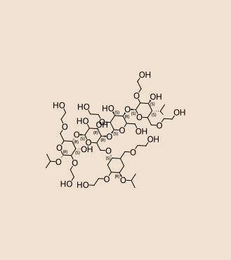 CC(C)O[C@@H]1OC(COCCO)[C@H](O[C@@H]2OC(CO[C@H]3CC(OCCO)[C@H](OC(C)C)CC3COCCO)[C@H](O[C@@H]3OC(CO)[C@H](O[C@@H]4OC(COCCO)[C@@H](C(C)C)[C@H](O)C4OCCO)[C@H](O)C3OCCO)[C@H](O)C2O)[C@H](O)C1OCCO